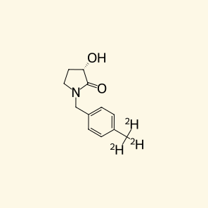 [2H]C([2H])([2H])c1ccc(CN2CC[C@H](O)C2=O)cc1